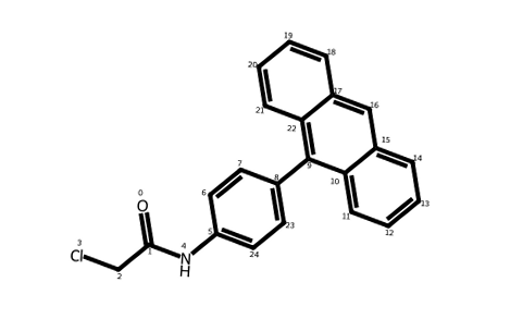 O=C(CCl)Nc1ccc(-c2c3ccccc3cc3ccccc23)cc1